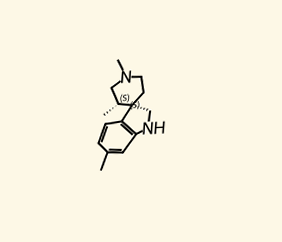 Cc1ccc2c(c1)NC[C@]21CCN(C)C[C@H]1C